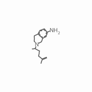 C=C(C)CCC(C)N1CCc2ccc(N)cc2C1